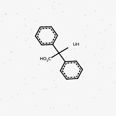 CC(C(=O)O)(c1ccccc1)c1ccccc1.[LiH]